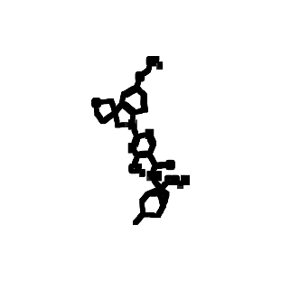 CC1CC2CC(C1)C(NC(=O)c1cnc(N3CC4(CCOC4)c4cc(OCC(F)(F)F)ccc43)nc1C(F)(F)F)(C(=O)O)C2